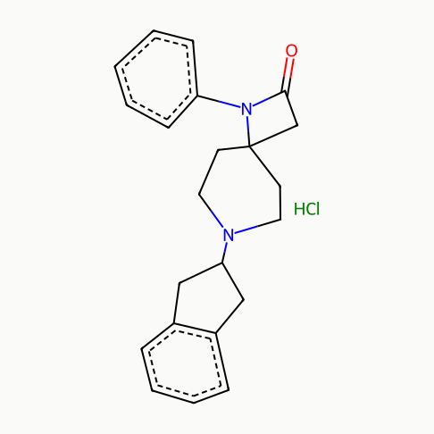 Cl.O=C1CC2(CCN(C3Cc4ccccc4C3)CC2)N1c1ccccc1